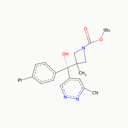 CC(C)c1ccc([C@](O)(c2cnnc(C#N)c2)C2(C)CN(C(=O)OC(C)(C)C)C2)cc1